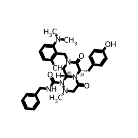 Cc1cccc(N(C)C)c1CN1C[C@@H]2N(C(=O)CN(C)N2C(=O)NCc2ccccc2)[C@@H](Cc2ccc(O)cc2)C1=O